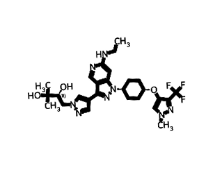 CCNc1cc2c(cn1)c(-c1cnn(C[C@@H](O)C(C)(C)O)c1)nn2[C@H]1CC[C@@H](Oc2cn(C)nc2C(F)(F)F)CC1